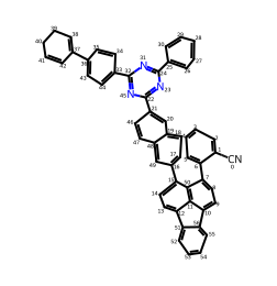 N#Cc1ccccc1-c1ccc2c3c(ccc(-c4ccc5cc(-c6nc(-c7ccccc7)nc(-c7ccc(C8=CCCC=C8)cc7)n6)ccc5c4)c13)-c1ccccc1-2